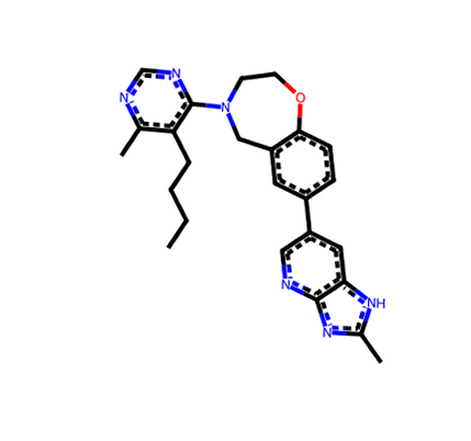 CCCCc1c(C)ncnc1N1CCOc2ccc(-c3cnc4nc(C)[nH]c4c3)cc2C1